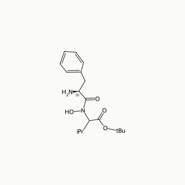 CC(C)C(C(=O)OC(C)(C)C)N(O)C(=O)[C@@H](N)Cc1ccccc1